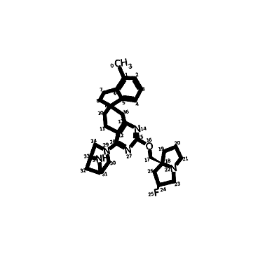 Cc1cccc2c1CCC21CCc2c(nc(OC[C@@]34CCCN3C[C@H](F)C4)nc2N2CC3CC(C2)N3)C1